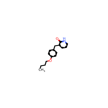 CCCCOc1ccc(Cc2ccc[nH]c2=O)cc1